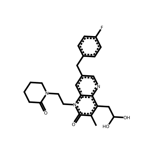 Cc1c(CC(O)O)c2ncc(Cc3ccc(F)cc3)cc2n(CCN2CCCCC2=O)c1=O